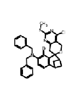 CSc1nc(Cl)c2c(n1)CC1(OC2)c2c(ccc(N(Cc3ccccc3)Cc3ccccc3)c2Br)C2CC1C2